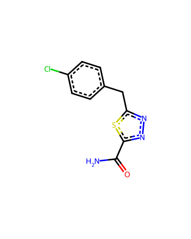 NC(=O)c1nnc(Cc2ccc(Cl)cc2)s1